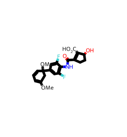 COC1=CC=CC(OC)(c2cc(F)c(NC(=O)C3=C(C(=O)O)C(O)CC3)c(F)c2)C1